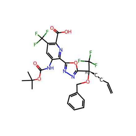 C=CCC[C@@](OCc1ccccc1)(c1nnc(-c2nc(C(=O)O)c(C(F)(F)F)cc2NC(=O)OC(C)(C)C)o1)C(F)(F)F